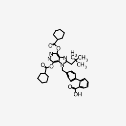 CC(C)(C)Cc1nc2c(OC(=O)C3CCCCC3)nnc(OC(=O)C3CCCCC3)c2n1Cc1ccc(-c2ccccc2C(=O)O)cc1